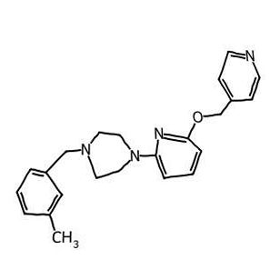 Cc1cccc(CN2CCN(c3cccc(OCc4ccncc4)n3)CC2)c1